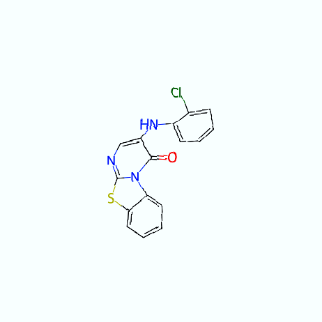 O=c1c(Nc2ccccc2Cl)cnc2sc3ccccc3n12